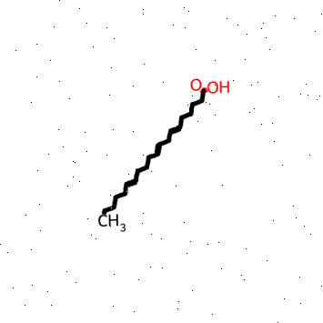 CCCCCC=CCCCC=CCC=CCCCCC(=O)O